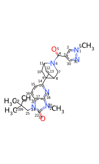 Cn1cc(C(=O)N2CC3CCC2C=C3c2ccc3c(n2)n(C)c(=O)n3CC(C)(C)C)cn1